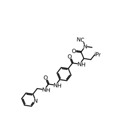 CC(C)CC(NC(=O)c1ccc(NC(=O)NCc2ccccn2)cc1)C(=O)N(C)C#N